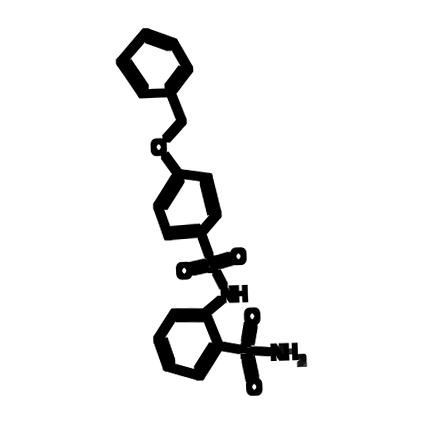 NS(=O)(=O)c1ccccc1NS(=O)(=O)c1ccc(OCc2ccccc2)cc1